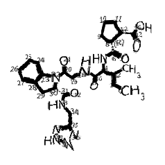 CCC(C)C(NC(=O)[C@@H]1CCC[C@H]1C(=O)O)C(=O)NCC(=O)N1c2ccccc2C[C@H]1C(=O)NCc1nn[nH]n1